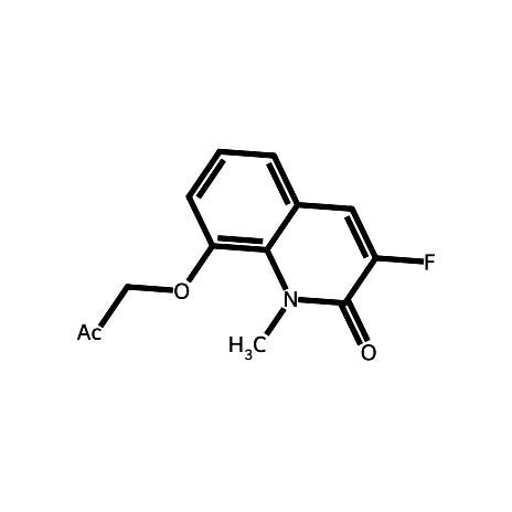 CC(=O)COc1cccc2cc(F)c(=O)n(C)c12